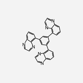 c1cc(-c2cc(-c3cccc4nccnc34)cc(-c3cccc4nccnc34)c2)c2nccnc2c1